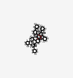 c1ccc(-c2nc(-c3ccccc3)nc(-c3ccc(-n4c5ccccc5c5c6sc7ccccc7c6ccc54)cc3-c3cnccc3-n3c4ccccc4c4c5sc6ccccc6c5ccc43)n2)cc1